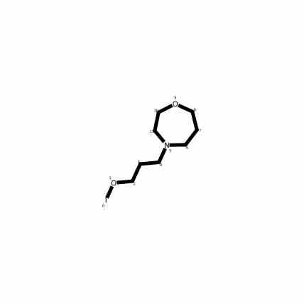 IOCCCN1CCCOCC1